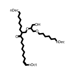 CCCCCCCC/C=C\CCCCCCCC(=O)C(CCCCCCCCCCCCCCCC)COC(CO)COCCCCCCCCCCCCCCCC